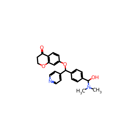 CN(C)C(O)c1ccc(C(Oc2ccc3c(c2)OCCC3=O)c2ccncc2)cc1